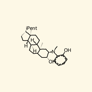 CCC[C@@H](C)[C@H]1CC[C@H]2[C@@H]3CCC4C[C@@H](O)[C@H](N(C)c5ccccc5O)C[C@]4(C)[C@H]3CC[C@]12C